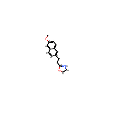 COc1ccc2cc(CCC3=NCCO3)ccc2c1